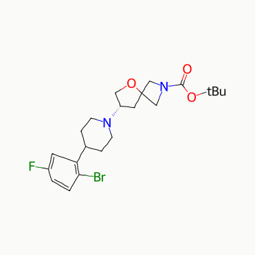 CC(C)(C)OC(=O)N1CC2(C[C@H](N3CCC(c4cc(F)ccc4Br)CC3)CO2)C1